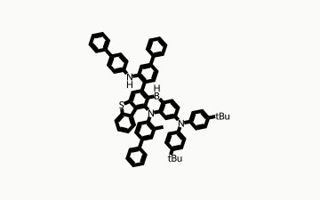 Cc1cc(-c2ccccc2)ccc1N1c2cc(N(c3ccc(C(C)(C)C)cc3)c3ccc(C(C)(C)C)cc3)ccc2Bc2c(-c3ccc(-c4ccccc4)cc3Nc3ccc(-c4ccccc4)cc3)cc3sc4ccccc4c3c21